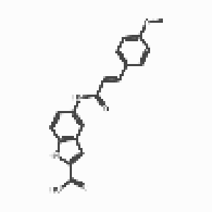 COc1ccc(C=CC(=O)Nc2ccc3[nH]c(C(=O)O)cc3c2)cc1